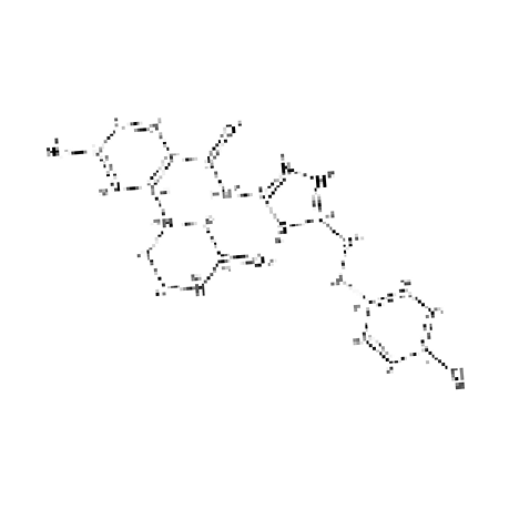 N#Cc1ccc(C(=O)Nc2nnc(OCc3ccc(Cl)cc3)s2)c(N2CCNC(=O)C2)n1